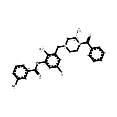 Cc1c(CN2CCN(C(=O)c3ccccc3)[C@@H](C)C2)cc(F)cc1NC(=O)c1cccc(C#N)c1